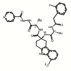 CCC(C)[C@H](NC(=O)Cc1ccccc1F)C(=O)NC1(C(=O)N[C@H](C(=O)NNC(=O)c2ccncc2)C(C)CC)CCc2[nH]c3c(C(F)(F)F)cccc3c2C1